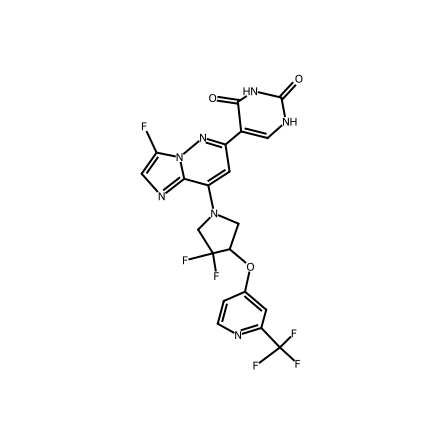 O=c1[nH]cc(-c2cc(N3CC(Oc4ccnc(C(F)(F)F)c4)C(F)(F)C3)c3ncc(F)n3n2)c(=O)[nH]1